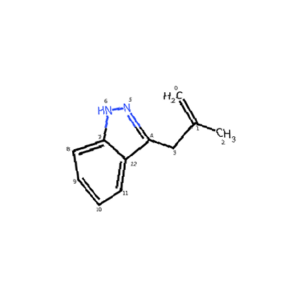 C=C(C)Cc1n[nH]c2ccccc12